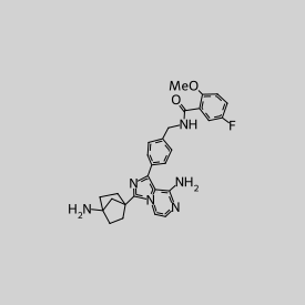 COc1ccc(F)cc1C(=O)NCc1ccc(-c2nc(C34CCC(N)(CC3)C4)n3ccnc(N)c23)cc1